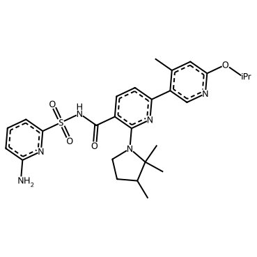 Cc1cc(OC(C)C)ncc1-c1ccc(C(=O)NS(=O)(=O)c2cccc(N)n2)c(N2CCC(C)C2(C)C)n1